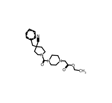 CCOC(=O)CN1CCN(C(=O)N2CCC(C#N)(Cc3ccccc3)CC2)CC1